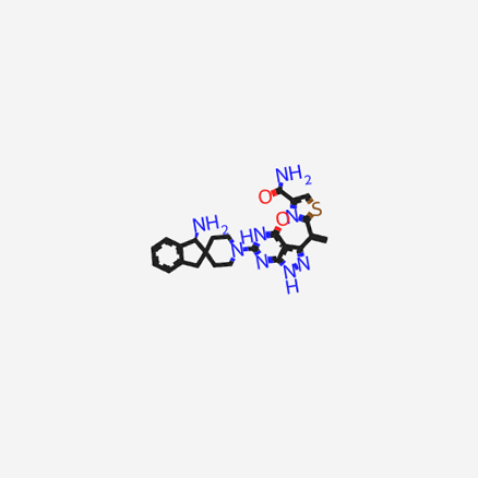 C=C(c1nc(C(N)=O)cs1)c1n[nH]c2nc(N3CCC4(CC3)Cc3ccccc3[C@H]4N)[nH]c(=O)c12